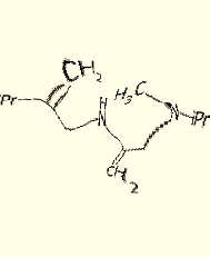 C=C(CN(C)C(C)C)NCC(=C)C(C)C